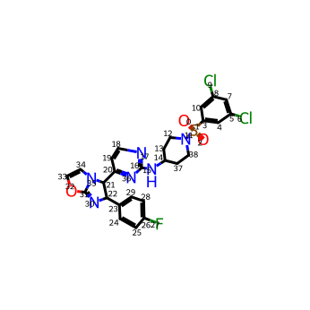 O=S(=O)(c1cc(Cl)cc(Cl)c1)N1CCC(Nc2nccc(C3C(c4ccc(F)cc4)N=C4OC=CN43)n2)CC1